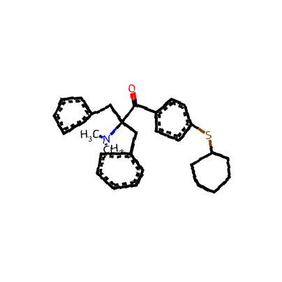 CN(C)C(Cc1ccccc1)(Cc1ccccc1)C(=O)c1ccc(SC2CCCCC2)cc1